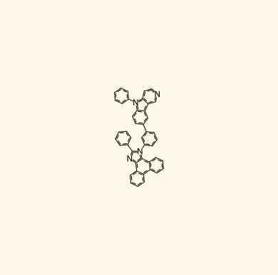 c1ccc(-c2nc3c4ccccc4c4ccccc4c3n2-c2cccc(-c3ccc4c(c3)c3cnccc3n4-c3ccccc3)c2)cc1